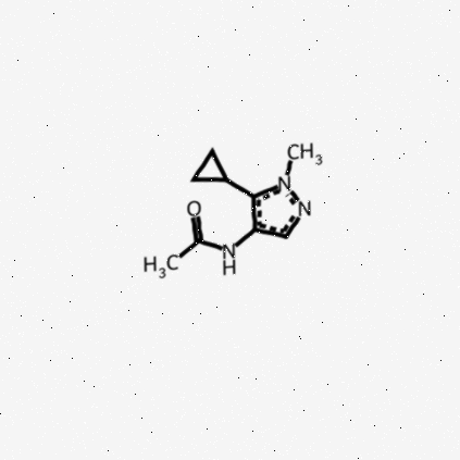 CC(=O)Nc1cnn(C)c1C1CC1